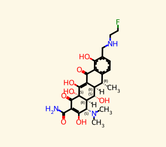 C[C@H]1c2ccc(CNCCF)c(O)c2C(=O)C2=C(O)[C@]3(O)C(=O)C(C(N)=O)=C(O)[C@@H](N(C)C)[C@@H]3[C@@H](O)[C@@H]21